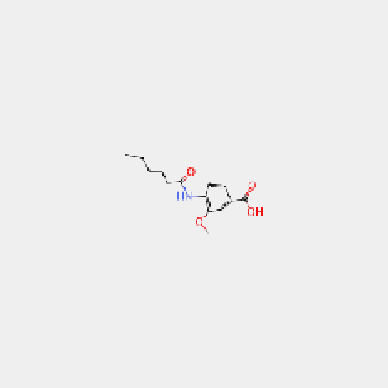 CCCCCC(=O)Nc1ccc(C(=O)O)cc1OC